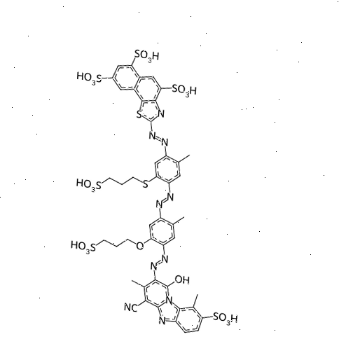 Cc1cc(N=Nc2cc(OCCCS(=O)(=O)O)c(N=Nc3c(C)c(C#N)c4nc5ccc(S(=O)(=O)O)c(C)c5n4c3O)cc2C)c(SCCCS(=O)(=O)O)cc1N=Nc1nc2c(S(=O)(=O)O)cc3c(S(=O)(=O)O)cc(S(=O)(=O)O)cc3c2s1